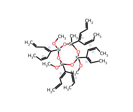 C=C/C=C(\C=C/C)[Si]1(C)O[Si](OC)(C(/C=C\C)=C/C)O[Si](OC)(C(/C=C\C)=C/C=C)O[Si](OC)(C(/C=C\C)=C/C=C)O1